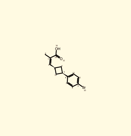 CC(=C[C@H]1C[C@@H](c2ccc(Br)cc2)C1)C(=O)O